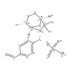 C=Cc1ccc(C[S@+]2[C@@H]3C[C@@H](CC[C@H]3C)C2(C)C)cc1.O=S(=O)([O-])C(F)(F)F